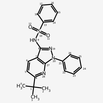 CC(C)(C)c1ccc2c(NS(=O)(=O)c3ccccc3)nn(-c3ccccc3)c2n1